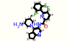 C[C@@H]1C[C@H](N)CN(c2c(NC(=O)c3ccc(F)c(-c4c(F)cccc4F)n3)cnc3c2CCC3)C1